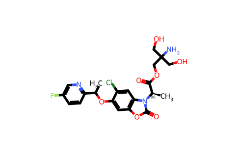 CC(Oc1cc2oc(=O)n([C@H](C)C(=O)OCC(N)(CO)CO)c2cc1Cl)c1ccc(F)cn1